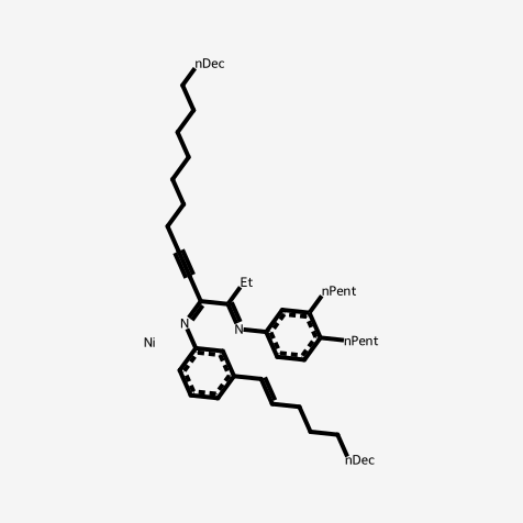 CCCCCCCCCCCCCC=Cc1cccc(N=C(C#CCCCCCCCCCCCCCCCCC)C(CC)=Nc2ccc(CCCCC)c(CCCCC)c2)c1.[Ni]